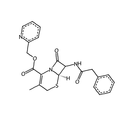 CC1=C(C(=O)OCc2ccccn2)N2C(=O)C(NC(=O)Cc3ccccc3)[C@H]2SC1